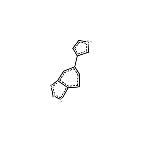 c1cc(-c2ccc3snnc3c2)c[nH]1